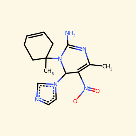 CC1=C([N+](=O)[O-])C(n2ccnc2)N(C2(C)CC=CCC2)C(N)=N1